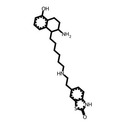 NC1CCc2c(O)cccc2C1CCCCCCNCCc1ccc2[nH]c(=O)sc2c1